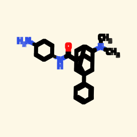 CN(C)C1C2CC3(C(=O)N[C@H]4CC[C@H](N)CC4)CC1CC(c1ccccc1)(C2)C3